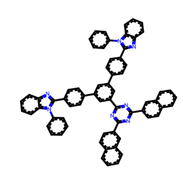 c1ccc(-n2c(-c3ccc(-c4cc(-c5ccc(-c6nc7ccccc7n6-c6ccccc6)cc5)cc(-c5nc(-c6ccc7ccccc7c6)nc(-c6ccc7ccccc7c6)n5)c4)cc3)nc3ccccc32)cc1